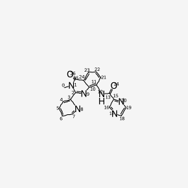 Cn1c(-c2ccccn2)nc2c(NC(=O)c3cnccn3)cccc2c1=O